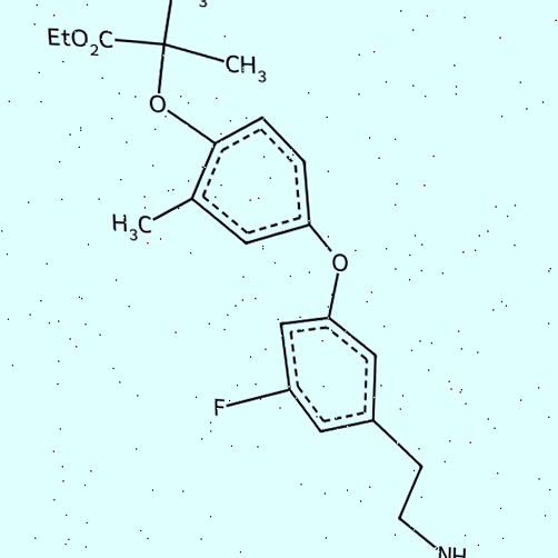 CCOC(=O)C(C)(C)Oc1ccc(Oc2cc(F)cc(CCN)c2)cc1C